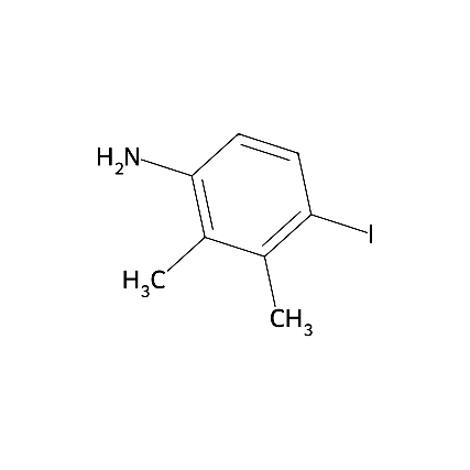 Cc1c(N)ccc(I)c1C